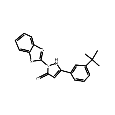 CC(C)(C)c1cccc(-c2cc(=O)n(-c3nc4ccccc4s3)[nH]2)c1